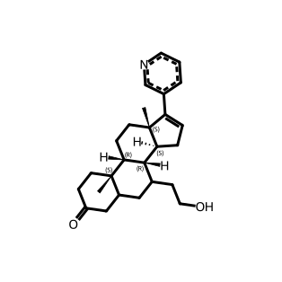 C[C@]12CCC(=O)CC1CC(CCO)[C@@H]1[C@H]2CC[C@]2(C)C(c3cccnc3)=CC[C@@H]12